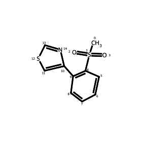 CS(=O)(=O)c1ccc[c]c1-c1cscn1